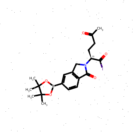 CC(=O)CC[C@@H](C(=O)I)N1Cc2cc(B3OC(C)(C)C(C)(C)O3)ccc2C1=O